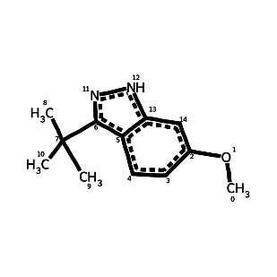 COc1ccc2c(C(C)(C)C)n[nH]c2c1